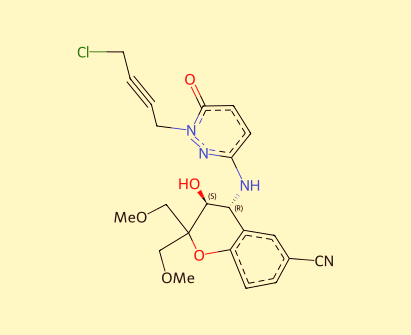 COCC1(COC)Oc2ccc(C#N)cc2[C@@H](Nc2ccc(=O)n(CC#CCCl)n2)[C@@H]1O